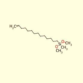 C=CCCCCCCCCCCCC[Si](C)(OC)OC